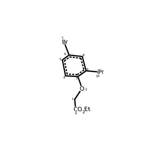 CCOC(=O)COc1ccc(Br)cc1C(C)C